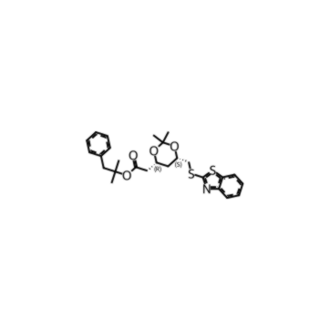 CC(C)(Cc1ccccc1)OC(=O)C[C@H]1C[C@@H](CSc2nc3ccccc3s2)OC(C)(C)O1